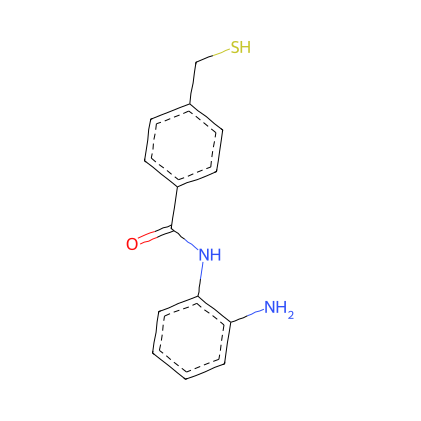 Nc1ccccc1NC(=O)c1ccc(CS)cc1